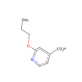 CC(=O)OCCOc1cc(C(=O)O)ccn1